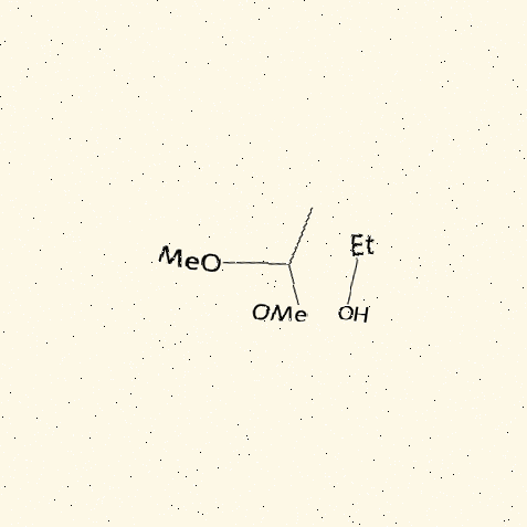 CCO.COC(C)OC